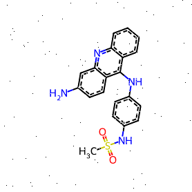 CS(=O)(=O)Nc1ccc(Nc2c3ccccc3nc3cc(N)ccc23)cc1